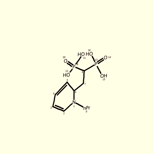 CCCN1C=CC=CC1CC(P(=O)(O)O)P(=O)(O)O